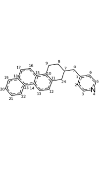 [CH](c1ccncc1)C1CCc2c(ccc3c2ccc2ccccc23)C1